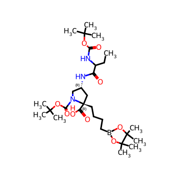 CCC(NC(=O)OC(C)(C)C)C(=O)N[C@H]1CN(C(=O)OC(C)(C)C)[C@@](CCCCB2OC(C)(C)C(C)(C)O2)(C(=O)O)C1